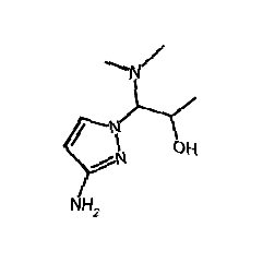 CC(O)C(N(C)C)n1ccc(N)n1